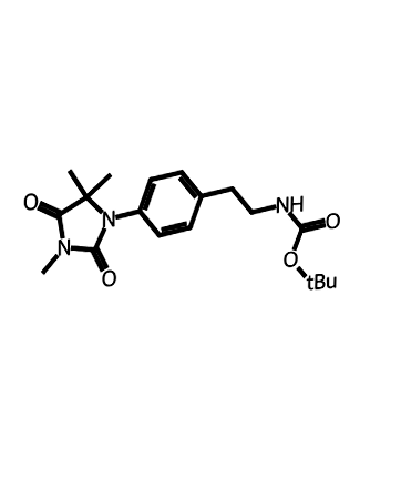 CN1C(=O)N(c2ccc(CCNC(=O)OC(C)(C)C)cc2)C(C)(C)C1=O